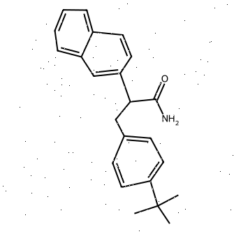 CC(C)(C)c1ccc(CC(C(N)=O)c2ccc3ccccc3c2)cc1